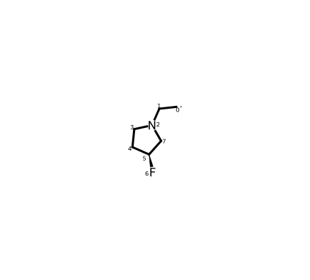 [CH2]CN1CC[C@H](F)C1